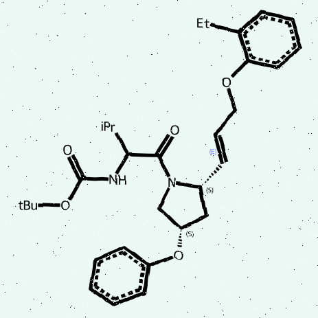 CCc1ccccc1OC/C=C/[C@@H]1C[C@H](Oc2ccccc2)CN1C(=O)C(NC(=O)OC(C)(C)C)C(C)C